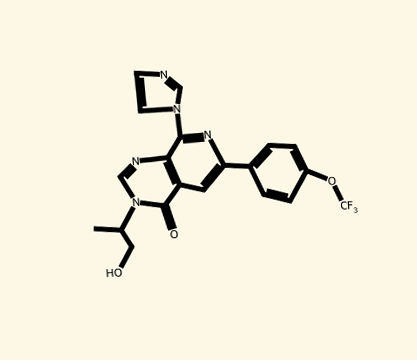 CC(CO)n1cnc2c(-n3ccnc3)nc(-c3ccc(OC(F)(F)F)cc3)cc2c1=O